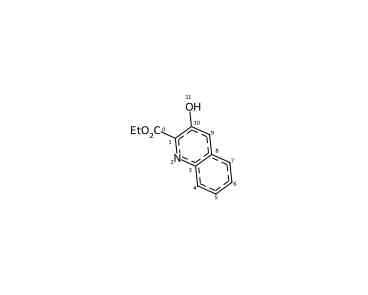 CCOC(=O)c1nc2ccccc2cc1O